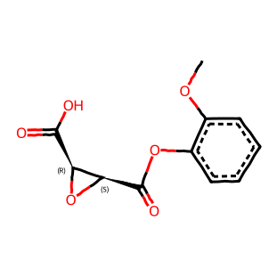 COc1ccccc1OC(=O)[C@H]1O[C@H]1C(=O)O